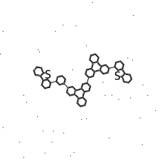 c1cc(-c2ccc3c4ccccc4c4ccc(-c5ccc6c7ccccc7c7cc(-c8cccc9c8sc8ccccc89)ccc7c6c5)cc4c3c2)cc(-c2cccc3c2sc2ccccc23)c1